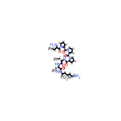 CC(C)C[C@H](NC(=O)[C@H](CC(C)C)NC(=O)[C@@H]1CCCN1C(=O)[C@@H]1CCCN1C(=O)[C@@H]1CCCN1C(=O)[C@@H](N)CC(C)C)C(=O)N[C@@H](CCCCN)C(=O)O